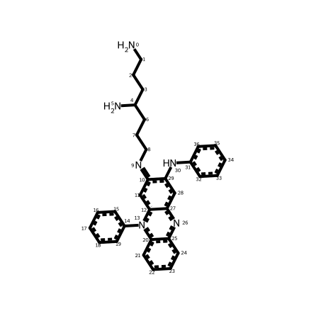 NCCCC(N)CCC/N=c1/cc2n(-c3ccccc3)c3ccccc3nc-2cc1Nc1ccccc1